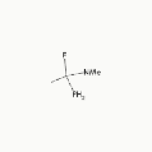 CNC(C)(F)P